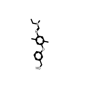 CCN(C)C=Nc1cc(C)c(Oc2cccc(CO)c2)cc1C